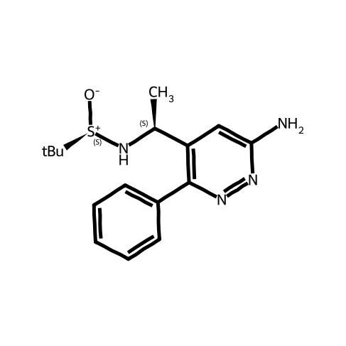 C[C@H](N[S@+]([O-])C(C)(C)C)c1cc(N)nnc1-c1ccccc1